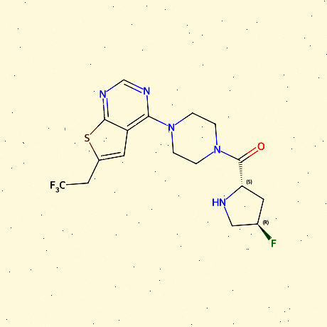 O=C([C@@H]1C[C@@H](F)CN1)N1CCN(c2ncnc3sc(CC(F)(F)F)cc23)CC1